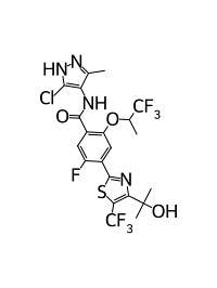 Cc1n[nH]c(Cl)c1NC(=O)c1cc(F)c(-c2nc(C(C)(C)O)c(C(F)(F)F)s2)cc1OC(C)C(F)(F)F